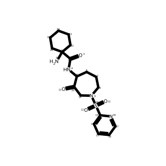 NC1(C(=O)NC2CCCN(S(=O)(=O)c3ccccn3)CC2=O)CCCCC1